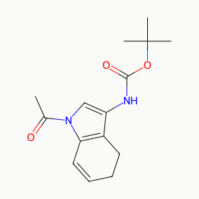 CC(=O)n1cc(NC(=O)OC(C)(C)C)c2c1C=CCC2